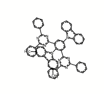 Cc1ccc2c(c1)c1cc(C)ccc1n2-c1c(-c2nc(-c3ccccc3)nc(-c3ccccc3)n2)cc(-n2c3ccccc3c3ccccc32)cc1-c1nc(-c2ccccc2)nc(-c2ccccc2)n1